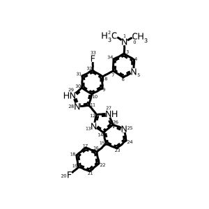 CN(C)c1cncc(-c2cc3c(-c4nc5c(-c6ccc(F)cc6)ccnc5[nH]4)n[nH]c3cc2F)c1